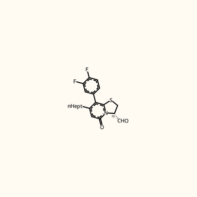 CCCCCCCc1cc(=O)n2c(c1-c1ccc(F)c(F)c1)SC[C@@H]2C=O